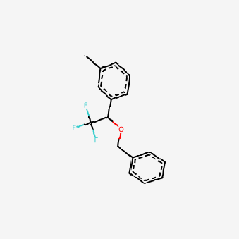 [CH2]c1cccc(C(OCc2ccccc2)C(F)(F)F)c1